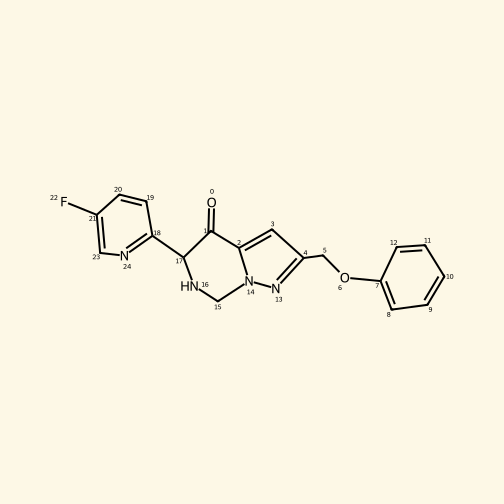 O=C1c2cc(COc3ccccc3)nn2CNC1c1ccc(F)cn1